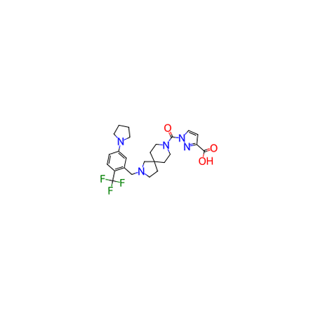 O=C(O)c1ccn(C(=O)N2CCC3(CCN(Cc4cc(N5CCCC5)ccc4C(F)(F)F)C3)CC2)n1